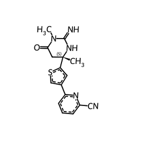 CN1C(=N)N[C@](C)(c2cc(-c3cccc(C#N)n3)cs2)CC1=O